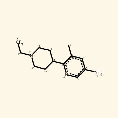 Cc1cc(N)cnc1C1CCN(CC(F)(F)F)CC1